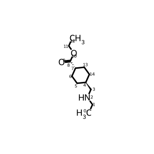 CCNC[C@H]1CC[C@H](C(=O)OCC)CC1